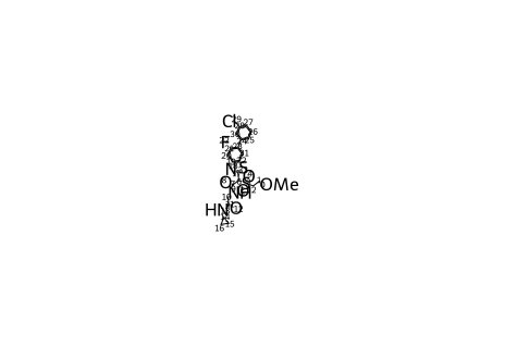 COCCS(=O)(=O)C(C(=O)NCC(=O)NC1CC1)c1nc2cc(F)c(-c3cccc(Cl)c3)cc2s1